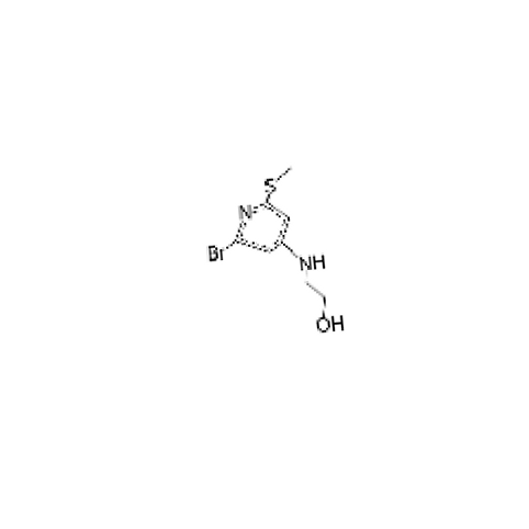 CSc1cc(NCCO)cc(Br)n1